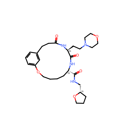 O=C1CCc2cccc(c2)OCCCC[C@@H](C(=O)NC[C@@H]2CCCO2)NC(=O)[C@H](CCN2CCOCC2)N1